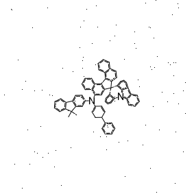 CC1(C)c2ccccc2-c2ccc(N(C3=CCC(c4ccccc4)C=C3)c3cc4c(c5ccccc35)-c3c(ccc5ccccc35)C43c4ccccc4-n4c5ccccc5c5cccc3c54)cc21